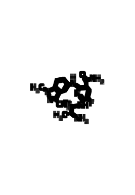 CC[C@@H](Nc1nc(Nc2ccc3c(c2)c(C)nn3C)c(C(N)=O)cc1F)[C@H](C)N